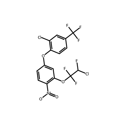 O=[N+]([O-])c1ccc(Oc2ccc(C(F)(F)F)cc2Cl)cc1OC(F)(F)C(F)Cl